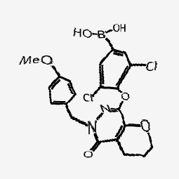 COc1ccc(Cn2nc(Oc3c(Cl)cc(B(O)O)cc3Cl)c3c(c2=O)CCCO3)cc1